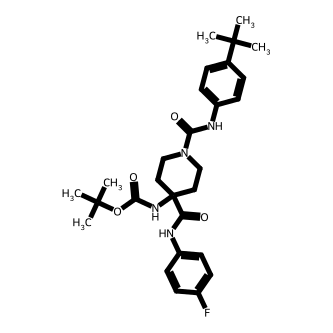 CC(C)(C)OC(=O)NC1(C(=O)Nc2ccc(F)cc2)CCN(C(=O)Nc2ccc(C(C)(C)C)cc2)CC1